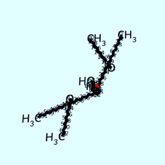 CCCCCCCCCCN(CCCCCCCCCC)C(=O)CCCCCCCN1CCC1(CCCCCCCC(=O)N(CCCCCCCCCC)CCCCCCCCCC)CC(F)(F)CO